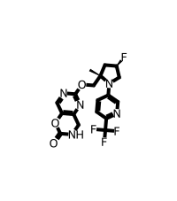 C[C@@]1(COc2ncc3c(n2)CNC(=O)O3)C[C@@H](F)CN1c1ccc(C(F)(F)F)nc1